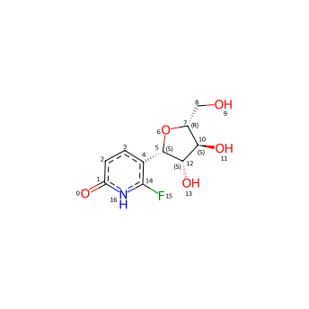 O=c1ccc([C@@H]2O[C@H](CO)[C@@H](O)[C@@H]2O)c(F)[nH]1